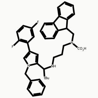 CC(C)(C)C(NCCCN(CC1c2ccccc2-c2ccccc21)C(=O)O)c1cc(-c2cc(F)ccc2F)cn1Cc1ccccc1